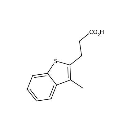 Cc1c(CCC(=O)O)sc2ccccc12